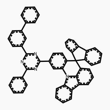 c1ccc(-c2cccc(-c3nc(-c4ccccc4)nc(-c4ccc5c(c4)-n4c6ccccc6c6cccc(c64)C54c5ccccc5-c5ccccc54)n3)c2)cc1